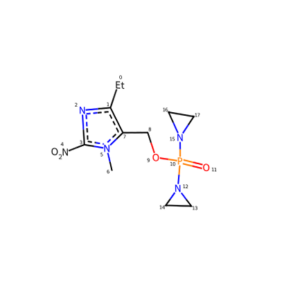 CCc1nc([N+](=O)[O-])n(C)c1COP(=O)(N1CC1)N1CC1